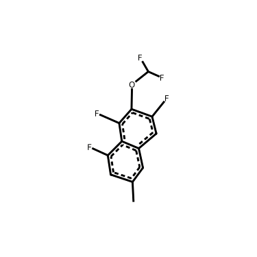 Cc1cc(F)c2c(F)c(OC(F)F)c(F)cc2c1